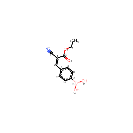 CCOC(=O)C(C#N)=Cc1ccc(B(O)O)cc1